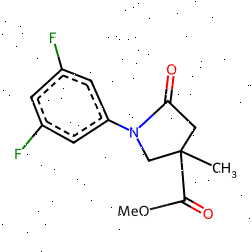 COC(=O)C1(C)CC(=O)N(c2cc(F)cc(F)c2)C1